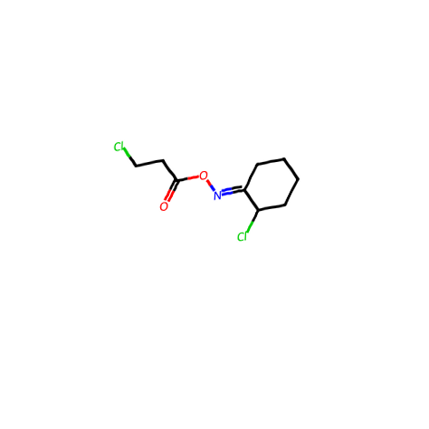 O=C(CCCl)ON=C1CCCCC1Cl